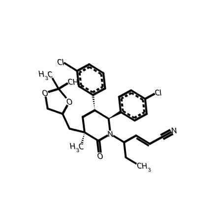 CCC(C=CC#N)N1C(=O)[C@@](C)(CC2COC(C)(C)O2)C[C@H](c2cccc(Cl)c2)[C@H]1c1ccc(Cl)cc1